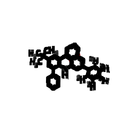 [2H]c1c([2H])c([2H])c(-c2cccc(Nc3c(-c4ccccc4)cc(C(C)(C)C)cc3-c3ccccc3)c2)c([2H])c1[2H]